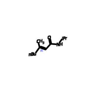 CCCC/C(C)=C/C(=O)NC(C)C